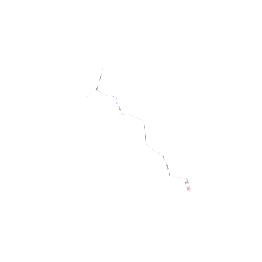 CC(C)NC(O)CCCCC=O